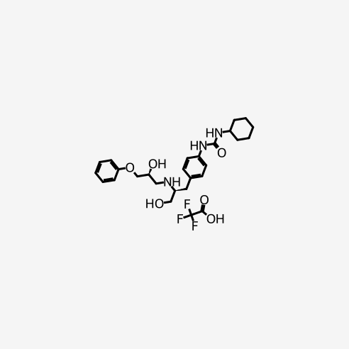 O=C(Nc1ccc(C[C@@H](CO)NC[C@H](O)COc2ccccc2)cc1)NC1CCCCC1.O=C(O)C(F)(F)F